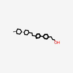 C[C@H]1CC[C@H](C2CCC(CCc3ccc(-c4ccc(CCCO)cc4)cc3)CC2)CC1